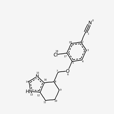 N#Cc1ccc(OCC2CCCc3[nH]cnc32)c(Cl)c1